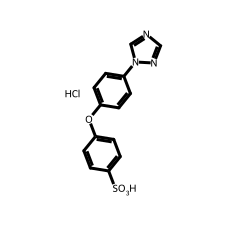 Cl.O=S(=O)(O)c1ccc(Oc2ccc(-n3cncn3)cc2)cc1